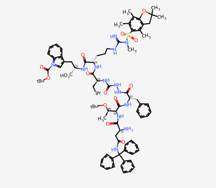 Cc1c(C)c(S(=O)(=O)N(C)C(=N)NCCC[C@H](NC(=O)[C@H](CC(C)C)NC(=O)NNC(=O)[C@H](Cc2ccccc2)NC(=O)[C@@H](NC(=O)[C@@H](N)CC(=O)NC(c2ccccc2)(c2ccccc2)c2ccccc2)[C@@H](C)OC(C)(C)C)C(=O)N[C@@H](Cc2cn(C(=O)OC(C)(C)C)c3ccccc23)C(=O)O)c(C)c2c1OC(C)(C)C2